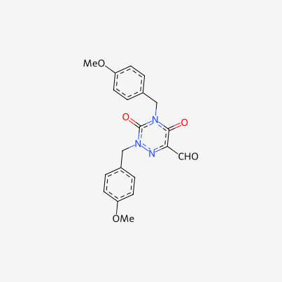 COc1ccc(Cn2nc(C=O)c(=O)n(Cc3ccc(OC)cc3)c2=O)cc1